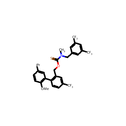 COc1ccc(C(C)C)cc1-c1ccc(C(F)(F)F)cc1COC(=S)N(C)Cc1cc(C(F)(F)F)cc(C(F)(F)F)c1